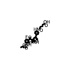 CCCS(=O)(=O)Nc1ccc(F)c(C(=O)c2c[nH]c3ncc(-c4ccc(NC(=O)CCCC(=O)O)cc4)cc23)c1F